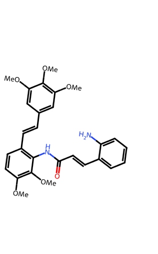 COc1cc(/C=C/c2ccc(OC)c(OC)c2NC(=O)/C=C/c2ccccc2N)cc(OC)c1OC